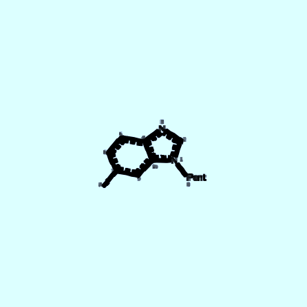 CCCC(C)n1cnc2ccc(C)cc21